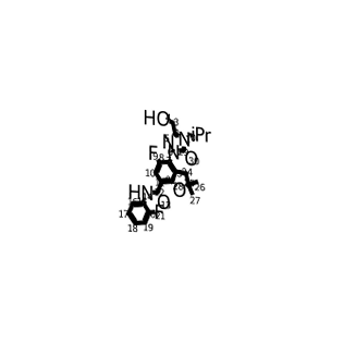 CC(C)n1c(CO)nn(-c2c(F)cc(C(=O)Nc3ccccc3F)c3c2CC(C)(C)O3)c1=O